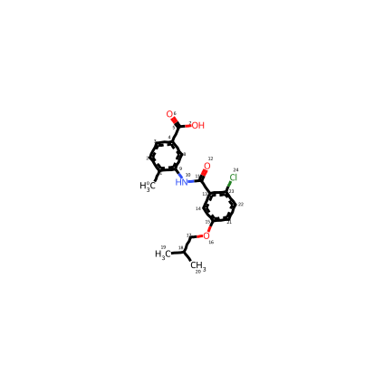 Cc1ccc(C(=O)O)cc1NC(=O)c1cc(OCC(C)C)ccc1Cl